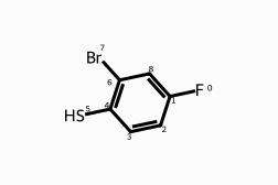 Fc1ccc(S)c(Br)c1